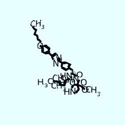 CCCCCCCOc1ccc(-c2cnc(-c3ccc(C[C@H](NC(=O)c4ccc(C(C)(C)C)s4)C(=O)NCC4(C(=O)OC)CCNCC4)cc3)nc2)cc1